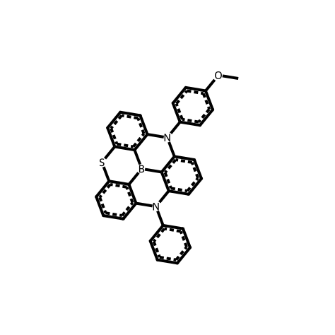 COc1ccc(N2c3cccc4c3B3c5c(cccc5N(c5ccccc5)c5cccc2c53)S4)cc1